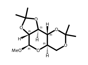 CO[C@@H]1O[C@@H]2COC(C)(C)O[C@H]2[C@@H]2OC(C)(C)O[C@@H]12